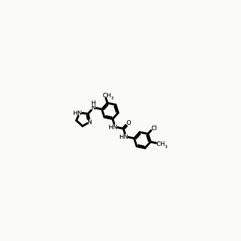 Cc1ccc(NC(=O)Nc2ccc(C)c(NC3=NCCN3)c2)cc1Cl